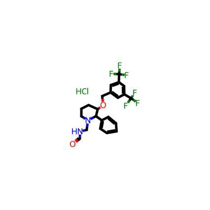 Cl.O=CNCN1CCCC(OCc2cc(C(F)(F)F)cc(C(F)(F)F)c2)C1c1ccccc1